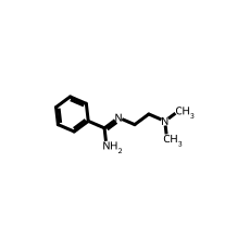 CN(C)CCN=C(N)c1ccccc1